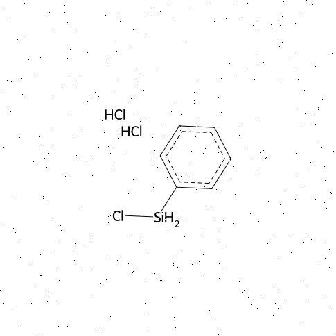 Cl.Cl.Cl[SiH2]c1ccccc1